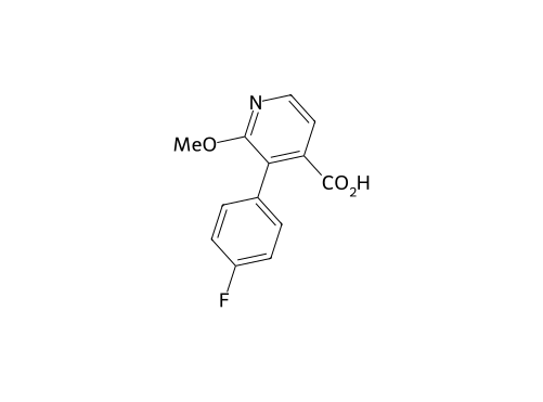 COc1nccc(C(=O)O)c1-c1ccc(F)cc1